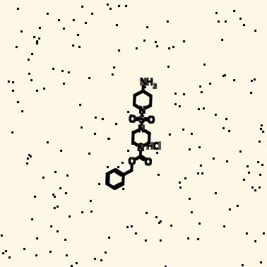 Cl.NC1CCN(S(=O)(=O)N2CCN(C(=O)OCc3ccccc3)CC2)CC1